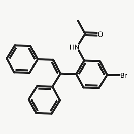 CC(=O)Nc1cc(Br)ccc1C(=Cc1ccccc1)c1ccccc1